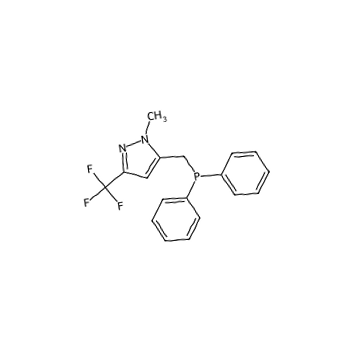 Cn1nc(C(F)(F)F)cc1CP(c1ccccc1)c1ccccc1